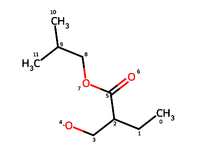 CCC(C[O])C(=O)OCC(C)C